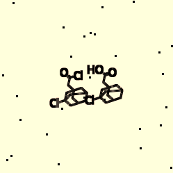 O=C(Cl)CC12CC3CC(CC(Cl)(C3)C1)C2.O=C(O)CC12CC3CC(CC(Cl)(C3)C1)C2